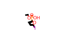 CCOP(=O)(O)c1ccc(I)o1